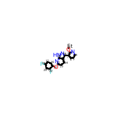 CCOc1ncccc1-c1n[nH]c2nc(Oc3ccc(F)cc3F)ccc12